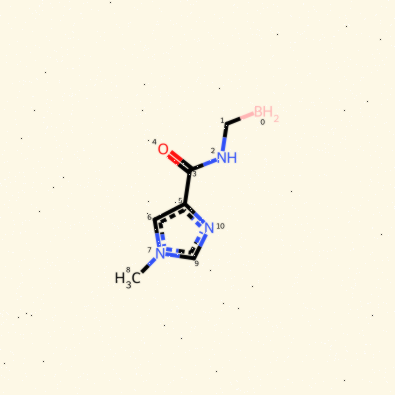 BCNC(=O)c1cn(C)cn1